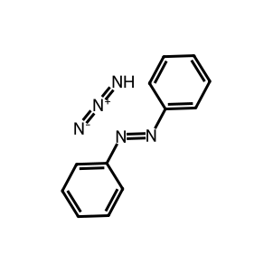 [N-]=[N+]=N.c1ccc(N=Nc2ccccc2)cc1